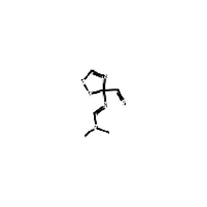 CN(C)C=NC1(C=S)N=CSS1